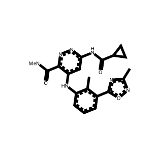 CNC(=O)c1nnc(NC(=O)C2CC2)cc1Nc1cccc(-c2nc(C)no2)c1C